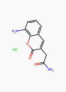 Cl.NC(=O)Cc1cc2cccc(N)c2oc1=O